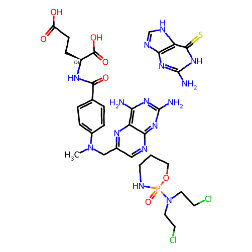 CN(Cc1cnc2nc(N)nc(N)c2n1)c1ccc(C(=O)N[C@@H](CCC(=O)O)C(=O)O)cc1.Nc1nc2nc[nH]c2c(=S)[nH]1.O=P1(N(CCCl)CCCl)NCCCO1